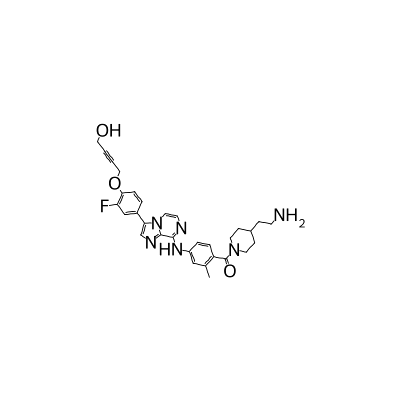 Cc1cc(Nc2nccn3c(-c4ccc(OCC#CCO)c(F)c4)cnc23)ccc1C(=O)N1CCC(CCN)CC1